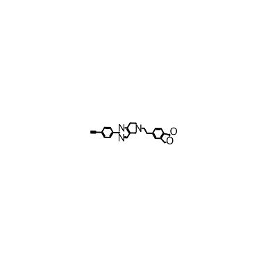 C#Cc1ccc(-c2ncc3c(n2)CCN(CCc2ccc4c(c2)COC4=O)C3)cc1